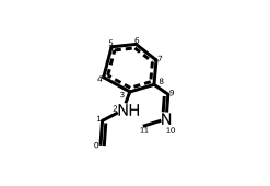 C=CNc1ccccc1/C=N\C